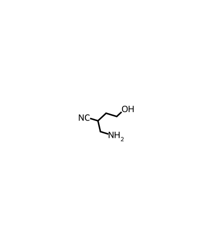 N#CC(CN)CCO